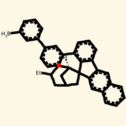 Bc1cccc(-c2cccc(-c3cccc4c3C3(CC5CC(CC)C[C@@H]3C5)c3cc5ccccc5cc3-4)c2)c1